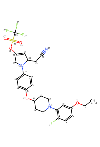 CCOc1ccc(F)c(N2CCC(Oc3ccc(N4CC(OS(=O)(=O)C(F)(F)F)=CC4CC#N)cc3)CC2)c1